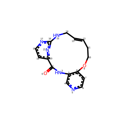 O=C1Nc2cnccc2OCC/C=C/CNc2nccc1n2